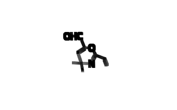 C=CC1=NC(C)(C)C=C(C=O)O1